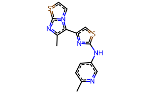 Cc1ccc(Nc2nc(-c3c(C)nc4sccn34)cs2)cn1